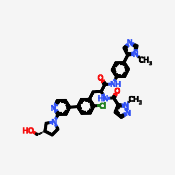 Cn1cncc1-c1ccc(NC(=O)C(Cc2cc(-c3ccnc(N4CC[C@H](CO)C4)c3)ccc2Cl)NC(=O)c2ccnn2C)cc1